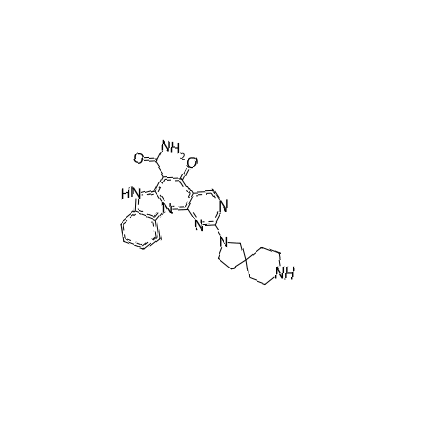 NC(=O)c1c(=O)c2cnc(N3CCC4(CCNCC4)C3)nc2n2c1[nH]c1ccccc12